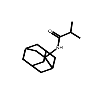 CC(C)C(=O)NC1CC2CC3CC(C2)CC1C3